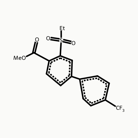 CCS(=O)(=O)c1cc(-c2ccc(C(F)(F)F)cc2)ccc1C(=O)OC